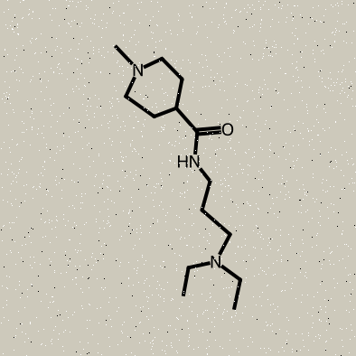 CCN(CC)CCCNC(=O)C1CCN(C)CC1